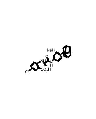 O=C(Nc1ccc(C23CC4CC(CC(C4)C2)C3)cc1)C(=O)Nc1ccc(Cl)cc1C(=O)O.[NaH]